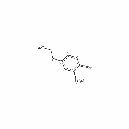 CCOC(=O)c1cn(CCOC(C)=O)ccc1=O